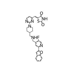 O=C1NC(=O)C(=Cc2ccnc(N3CCC(CNCc4cc(-c5cc6ccccc6o5)ncc4F)CC3)n2)S1